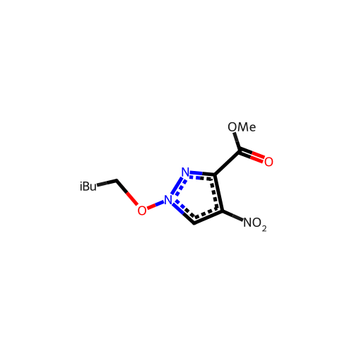 CCC(C)COn1cc([N+](=O)[O-])c(C(=O)OC)n1